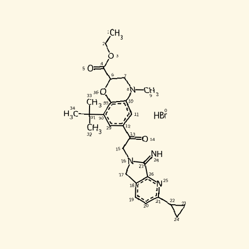 Br.CCOC(=O)C1CN(C)c2cc(C(=O)CN3Cc4ccc(C5CC5)nc4C3=N)cc(C(C)(C)C)c2O1